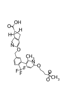 Cc1nc(OCCCS(C)(=O)=O)ccc1-c1cc(COc2cc3c(cn2)[C@H]2[C@@H](C3)[C@@H]2C(=O)O)ccc1C(F)(F)F